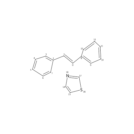 C(=Cc1ccccc1)c1ccccc1.c1cscn1